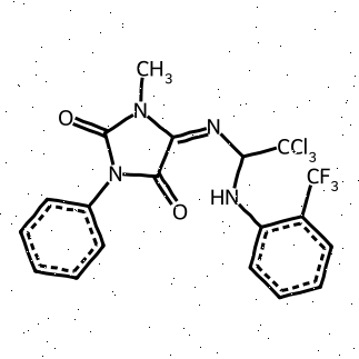 CN1C(=O)N(c2ccccc2)C(=O)C1=NC(Nc1ccccc1C(F)(F)F)C(Cl)(Cl)Cl